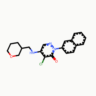 O=c1c(Cl)c(NCC2CCCOC2)cnn1-c1ccc2ccccc2c1